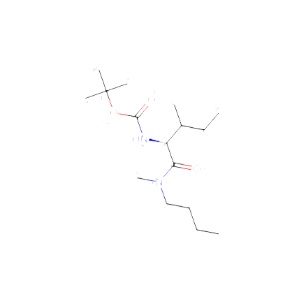 CCCCN(C)C(=O)[C@@H](NC(=O)OC(C)(C)C)C(C)CC